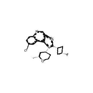 C[C@@H]1C[C@H](n2c3c(cnc4ccc(Cl)cc43)nc2[C@H]2C[C@@H](F)C2)CCO1